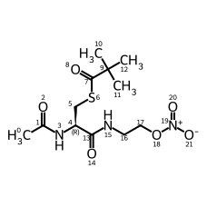 CC(=O)N[C@@H](CSC(=O)C(C)(C)C)C(=O)NCCO[N+](=O)[O-]